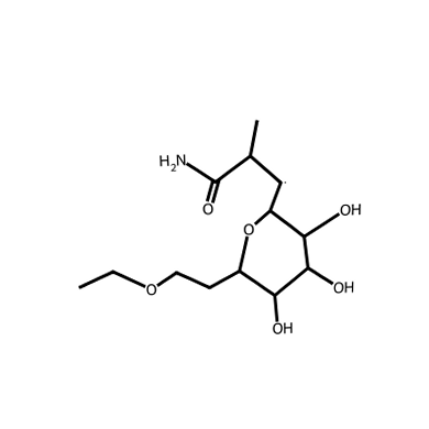 CCOCCC1OC([CH]C(C)C(N)=O)C(O)C(O)C1O